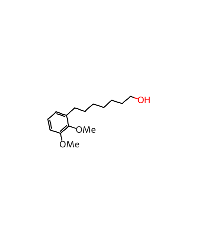 COc1cccc(CCCCCCCO)c1OC